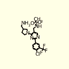 CS(=O)(=O)NCc1cnc(-c2ccc(Cl)c(C(F)(F)F)c2)nc1N1CCC(CN)C1